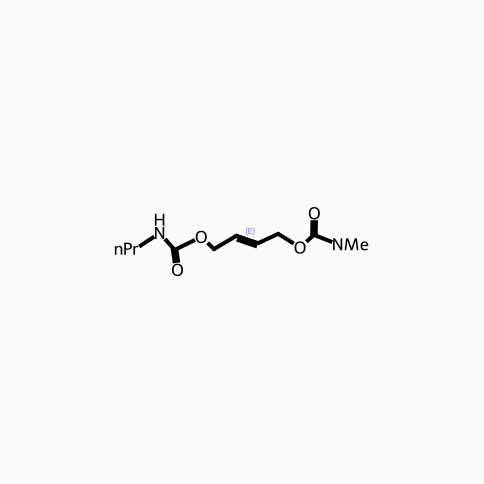 CCCNC(=O)OC/C=C/COC(=O)NC